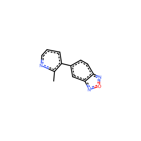 Cc1ncccc1-c1ccc2nonc2c1